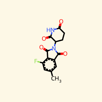 Cc1cc(F)c2c(c1)C(=O)N(C1CCC(=O)NC1=O)C2=O